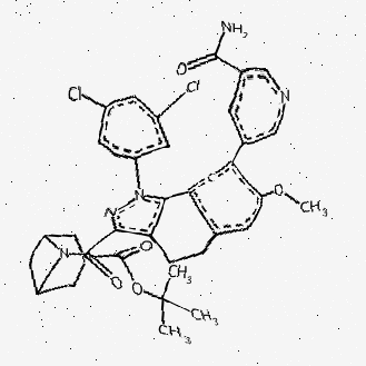 COc1cc2c(cc1-c1cncc(C(N)=O)c1)-c1c(c(C(=O)N3C4CC3CN(C(=O)OC(C)(C)C)C4)nn1-c1cc(Cl)cc(Cl)c1)CC2